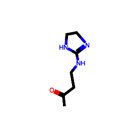 CC(=O)CCNC1=NCCN1